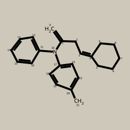 C=C(CC=C1CCCCC1)N(c1ccccc1)c1ccc(C)cc1